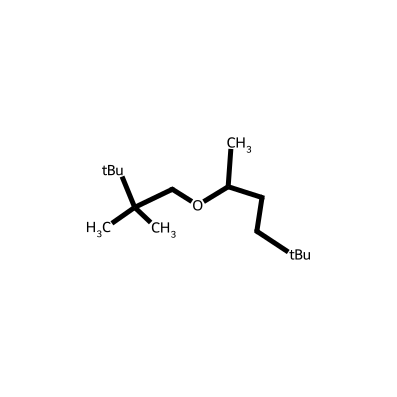 CC(CCC(C)(C)C)OCC(C)(C)C(C)(C)C